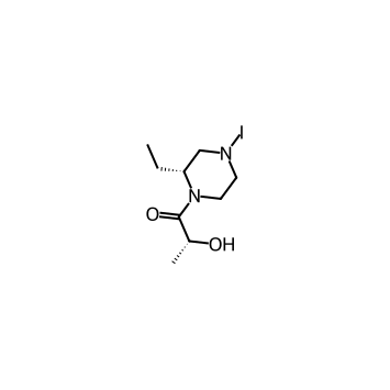 CC[C@@H]1CN(I)CCN1C(=O)[C@@H](C)O